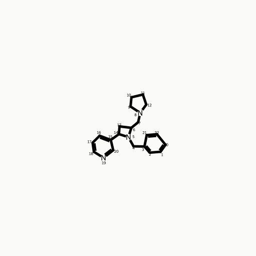 c1ccc(CN2C(CN3CCCC3)CC2c2cccnc2)cc1